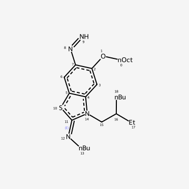 CCCCCCCCOc1cc2c(cc1N=N)s/c(=N/CCCC)n2CC(CC)CCCC